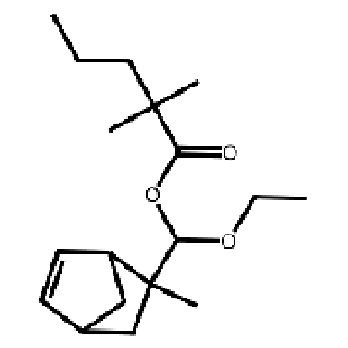 CCCC(C)(C)C(=O)OC(OCC)C1(C)CC2C=CC1C2